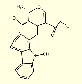 C[C@@H]1OC=C(C(=O)CO)C(Cc2nccc3c4ccccc4n(C)c23)[C@H]1CO